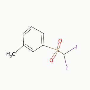 Cc1cccc(S(=O)(=O)C(I)I)c1